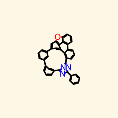 c1ccc(-c2nc3nc(n2)c2cccc4c5cccc6oc7cc(cc(c24)c7c65)c2cccc(c2)c2cccc3c2)cc1